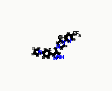 CC1CN(Cc2c[nH]nc2-c2ccc(-n3cccc3)cc2)CCN1c1ccc(C(F)(F)F)cn1